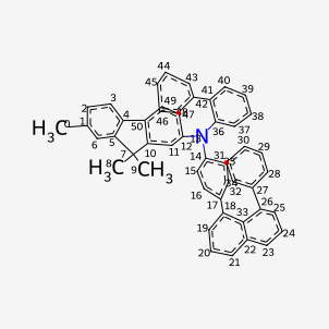 Cc1ccc2c(c1)C(C)(C)c1cc(N(c3ccc(-c4cccc5cccc(-c6ccccc6)c45)cc3)c3ccccc3-c3ccccc3)ccc1-2